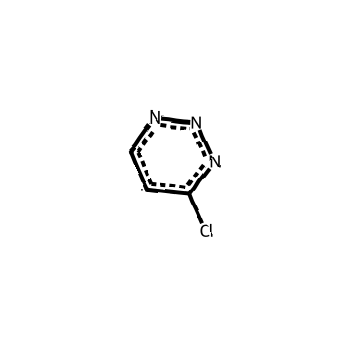 Clc1[c]cnnn1